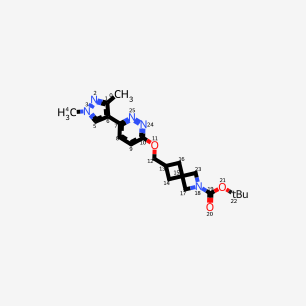 Cc1nn(C)cc1-c1ccc(OCC2CC3(C2)CN(C(=O)OC(C)(C)C)C3)nn1